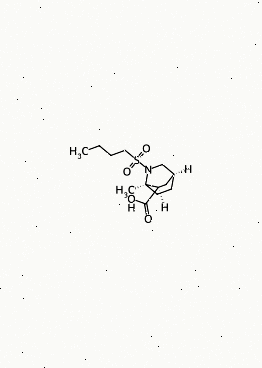 CCCCS(=O)(=O)N1C[C@H]2CC[C@]1(C)[C@H](C(=O)O)C2